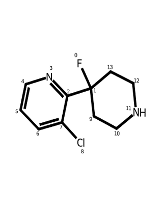 FC1(c2ncccc2Cl)CCNCC1